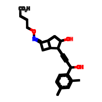 Cc1ccc(C(O)C#CC2C(O)CC3C(=NOCCCC(=O)O)CC32)c(C)c1